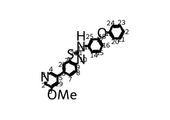 COc1cncc(-c2ccc3nc(Nc4cccc(Oc5ccccc5)c4)sc3c2)c1